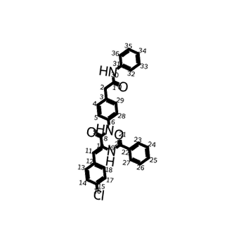 O=C(Cc1ccc(NC(=O)/C(=C/c2ccc(Cl)cc2)NC(=O)c2ccccc2)cc1)Nc1ccccc1